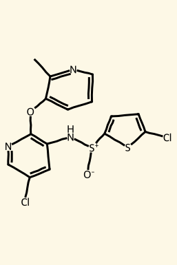 Cc1ncccc1Oc1ncc(Cl)cc1N[S+]([O-])c1ccc(Cl)s1